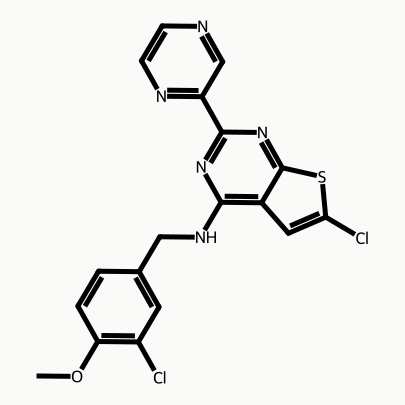 COc1ccc(CNc2nc(-c3cnccn3)nc3sc(Cl)cc23)cc1Cl